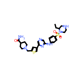 CCC1CNCCN1S(=O)(=O)c1ccc(Nc2cncc(-c3csc(CN4CCC(C(N)=O)CC4)c3)n2)cc1